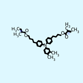 C/C=C(\C)C(=O)OCCCCc1ccc(N(c2ccc(CCCCOC(=O)/C(C)=C/C)cc2)c2ccc(C)c(C)c2)cc1